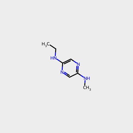 CCNc1cnc(NC)cn1